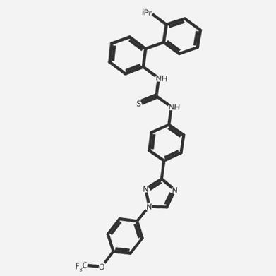 CC(C)c1ccccc1-c1ccccc1NC(=S)Nc1ccc(-c2ncn(-c3ccc(OC(F)(F)F)cc3)n2)cc1